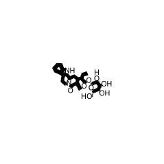 C=CC1C(OC2O[C@@H](CO)[C@H](O)[C@@H](O)[C@@H]2O)OC=C2C(=O)N3CCc4c([nH]c5ccccc45)C3CC21